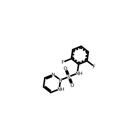 O=S(=O)(Nc1c(F)cccc1F)N1N=CC=CN1